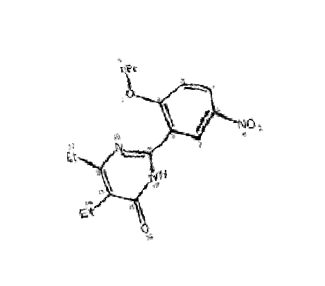 CCCOc1ccc([N+](=O)[O-])cc1-c1nc(CC)c(CC)c(=O)[nH]1